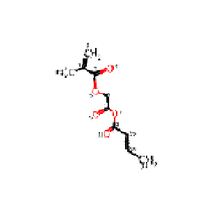 C=C(C)C(=O)OCC(=O)OC(=O)C=CC